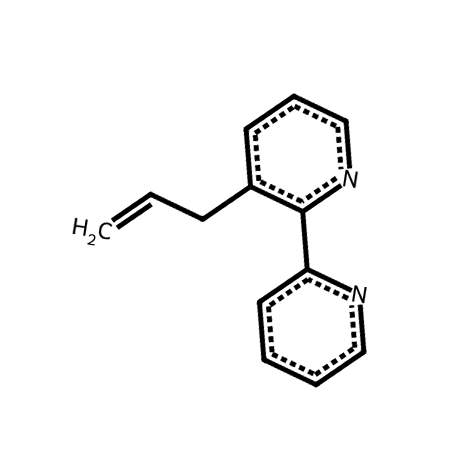 C=CCc1cccnc1-c1ccccn1